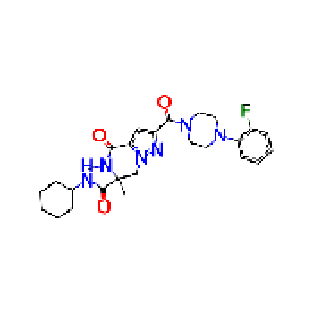 CN1C(=O)c2cc(C(=O)N3CCN(c4ccccc4F)CC3)nn2CC1(C)C(=O)NC1CCCCC1